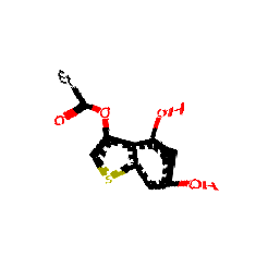 CCC(=O)Oc1csc2cc(O)cc(O)c12